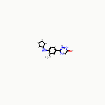 O=C1CNC(c2ccc(NC3CCCC3)c(C(F)(F)F)c2)=NN1